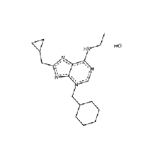 CCNc1ncn(CC2CCCCC2)c2nc(CC3CC3)nc1-2.Cl